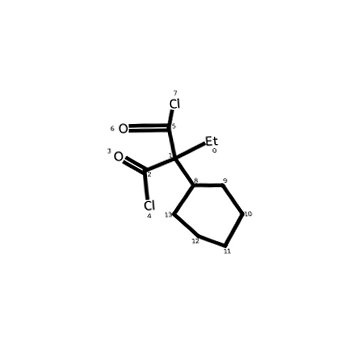 CCC(C(=O)Cl)(C(=O)Cl)C1CCCCC1